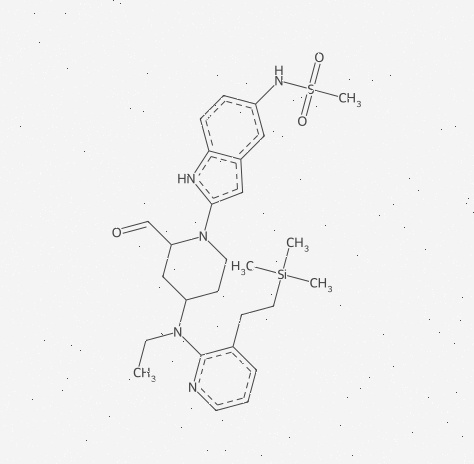 CCN(c1ncccc1CC[Si](C)(C)C)C1CCN(c2cc3cc(NS(C)(=O)=O)ccc3[nH]2)C(C=O)C1